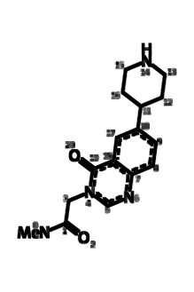 CNC(=O)Cn1cnc2ccc(C3CCNCC3)cc2c1=O